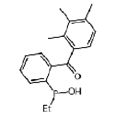 CCP(O)c1ccccc1C(=O)c1ccc(C)c(C)c1C